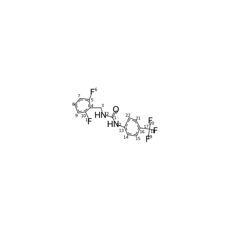 O=C(NCc1c(F)cccc1F)Nc1ccc(C(F)(F)F)cc1